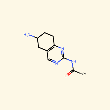 CCCC(=O)Nc1ncc2c(n1)CCC(N)C2